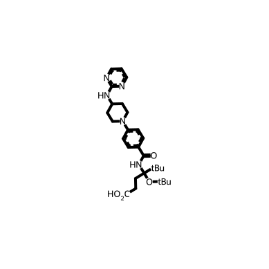 CC(C)(C)OC(CCC(=O)O)(NC(=O)c1ccc(N2CCC(Nc3ncccn3)CC2)cc1)C(C)(C)C